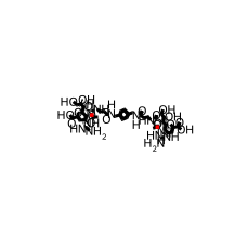 CC(=O)N[C@H]1[C@H]([C@H](OC(=O)NCCC(=O)NCc2ccc(CNC(=O)CCNC(=O)O[C@@H]([C@@H]3OC(C(=O)O)=C[C@H](NC(=N)N)[C@H]3NC(C)=O)[C@H](O)CO)cc2)[C@H](O)CO)OC(C(=O)O)=C[C@@H]1NC(=N)N